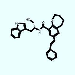 O=C(N[C@@H](CO)Cc1c[nH]c2ccccc12)c1cc(/C=C/c2ccccc2)cc2c1OCCCC2